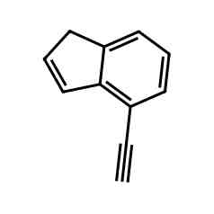 C#Cc1cccc2c1C=CC2